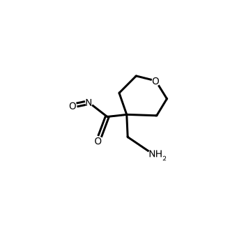 NCC1(C(=O)N=O)CCOCC1